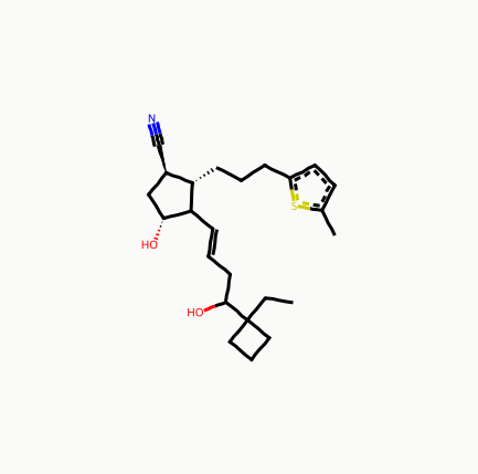 CCC1(C(O)C/C=C/C2[C@H](O)C[C@@H](C#N)[C@@H]2CCCc2ccc(C)s2)CCC1